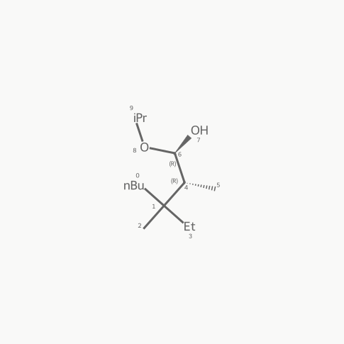 CCCCC(C)(CC)[C@@H](C)[C@H](O)OC(C)C